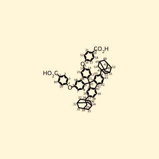 O=C(O)c1ccc(Oc2ccc(C3(c4ccc(Oc5ccc(C(=O)O)cc5)cc4)c4cc(C56CC7CC(CC(C7)C5)C6)ccc4-c4ccc(C56CC7CC(CC(C7)C5)C6)cc43)cc2)cc1